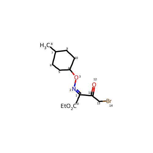 CCOC(=O)C(=NOC1CCC(C)CC1)C(=O)CBr